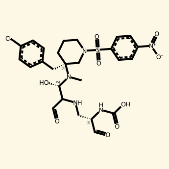 CN([C@@H](O)C(C=O)NC[C@@H](C=O)NC(=O)O)[C@@]1(Cc2ccc(Cl)cc2)CCCN(S(=O)(=O)c2ccc([N+](=O)[O-])cc2)C1